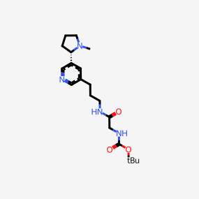 CN1CCC[C@H]1c1cncc(CCCNC(=O)CNC(=O)OC(C)(C)C)c1